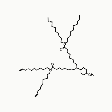 C=CCCCCCCCCN(CCCCCCCCC=C)C(=O)CCCCCCCN(CCCCCCCC(=O)N(CCCCCCCCCC)CCCCCCCCCC)C1CCC(O)CC1